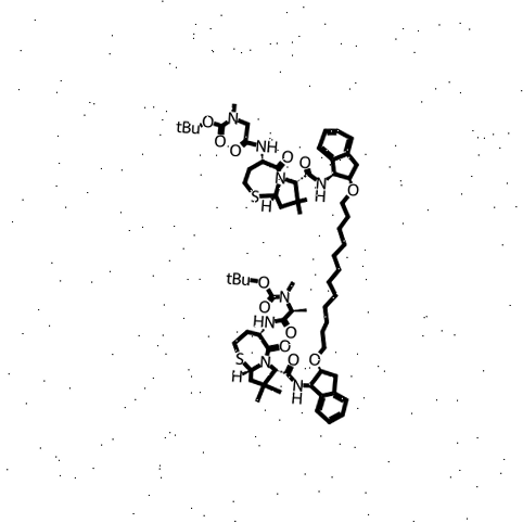 C[C@@H](C(=O)N[C@H]1CCS[C@H]2CC(C)(C)[C@@H](C(=O)NC3c4ccccc4C[C@H]3OCCCCCCCCCCCCO[C@@H]3Cc4ccccc4[C@@H]3NC(=O)[C@H]3N4C(=O)[C@@H](NC(=O)CN(C)C(=O)OC(C)(C)C)CCS[C@H]4CC3(C)C)N2C1=O)N(C)C(=O)OC(C)(C)C